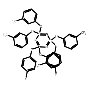 Fc1ccc(OP2(Oc3cccc(F)c3)=NP(Oc3cccc(C(F)(F)F)c3)(Oc3cccc(C(F)(F)F)c3)=NP(Oc3cccc(C(F)(F)F)c3)(Oc3cccc(C(F)(F)F)c3)=N2)cc1